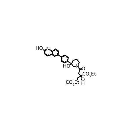 CCOC(=O)CC(O)(CC(=O)N1CCCC(O)(c2ccc(-c3ccc4nc(O)ccc4c3)cc2)C1)C(=O)OCC